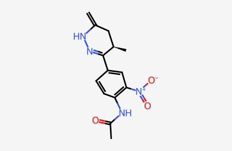 C=C1C[C@@H](C)C(c2ccc(NC(C)=O)c([N+](=O)[O-])c2)=NN1